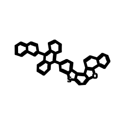 c1ccc2cc(-c3c4ccccc4c(-c4ccc5c(c4)sc4ccc6oc7c8ccccc8ccc7c6c45)c4ccccc34)ccc2c1